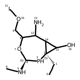 CC[C@]12P[C@@H](NC)OC(COI)C(N)C1C2O